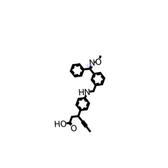 CC#CC(CC(=O)O)c1ccc(NCc2cccc(/C(=N\OC)c3ccccc3)c2)cc1